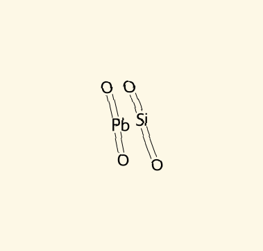 O=[Si]=O.[O]=[Pb]=[O]